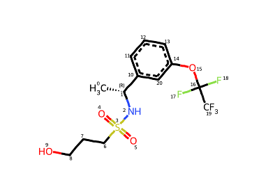 C[C@@H](NS(=O)(=O)CCCO)c1cccc(OC(F)(F)C(F)(F)F)c1